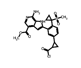 COC(=O)c1cnc(N)c2[nH]c(-c3cc(C4CC4C(=O)Cl)ccc3C3(S(C)(=O)=O)CC3)cc12